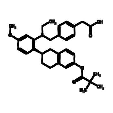 CCN(Cc1ccc(CC(=O)O)cc1)c1cc(OC)ccc1[C@@H]1CCc2cc(OC(=O)C(C)(C)C)ccc2C1